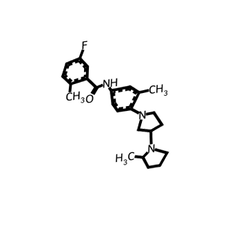 Cc1ccc(F)cc1C(=O)Nc1ccc(N2CCC(N3CCCC3C)C2)c(C)c1